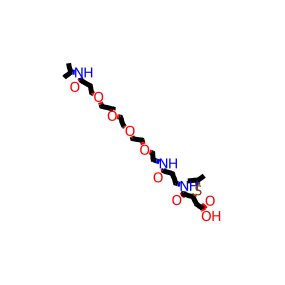 CC(C)NC(=O)CCOCCOCCOCCOCCNC(=O)CCNC(=O)C(CC(=O)O)SC(C)C